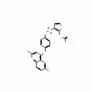 COC(=O)Oc1sccc1S(=O)(=O)Nc1ccc(Oc2cc(C)nc3ccc(F)cc23)cc1